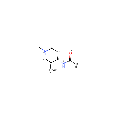 CO[C@H]1CN(C)CC[C@@H]1NC(=O)C(C)C